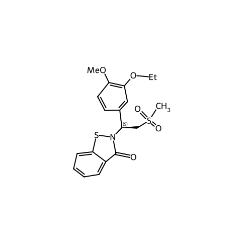 CCOc1cc([C@@H](CS(C)(=O)=O)n2sc3ccccc3c2=O)ccc1OC